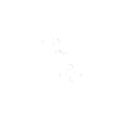 Cc1cc(CNC(=O)CC2CCN(CC(C)C(C)(C)C)CC2)no1